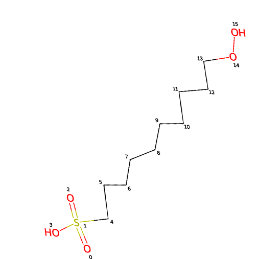 O=S(=O)(O)CCCCCCCCCCOO